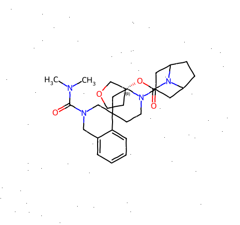 CN(C)C(=O)N1Cc2ccccc2C2(CCN(C3CC4CCC(C3)N4C(=O)O[C@@H]3CCOC3)CC2)C1